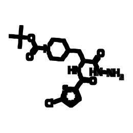 CC(C)(C)OC(=O)N1CCC(CC(NC(=O)c2ccc(Cl)s2)C(=O)NN)CC1